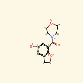 O=C(c1cc(Br)cc2c1OCC2)N1CCOCC1